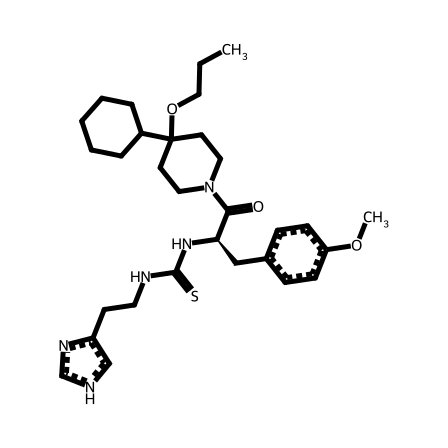 CCCOC1(C2CCCCC2)CCN(C(=O)[C@@H](Cc2ccc(OC)cc2)NC(=S)NCCc2c[nH]cn2)CC1